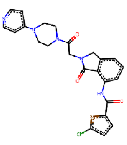 O=C(Nc1cccc2c1C(=O)N(CC(=O)N1CCN(c3ccncc3)CC1)C2)c1ccc(Cl)s1